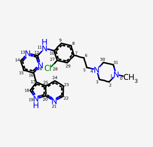 CN1CCN(CCc2ccc(Nc3nccc(-c4c[nH]c5ncccc45)n3)c(Cl)c2)CC1